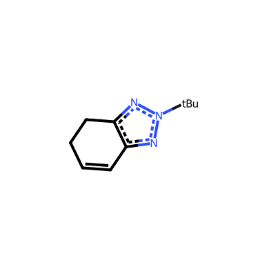 CC(C)(C)n1nc2c(n1)CCC=C2